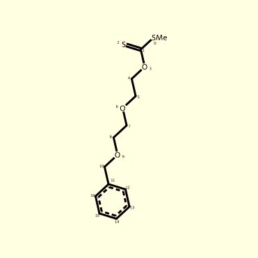 CSC(=S)OCCOCCOCc1ccccc1